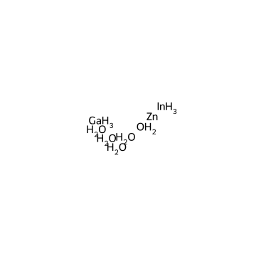 O.O.O.O.O.[GaH3].[InH3].[Zn]